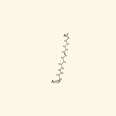 CC(=O)CCCCCC=CCCCCCCCCOC(C)=O